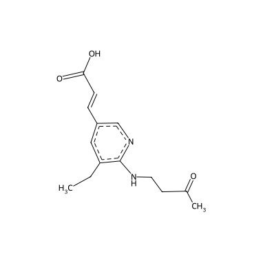 CCc1cc(/C=C/C(=O)O)cnc1NCCC(C)=O